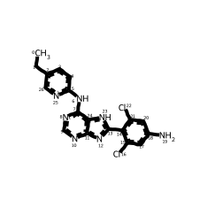 CCc1ccc(Nc2ncnc3nc(-c4c(Cl)cc(N)cc4Cl)[nH]c23)nc1